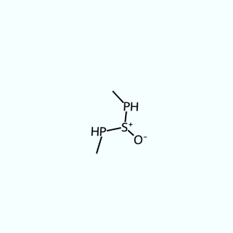 CP[S+]([O-])PC